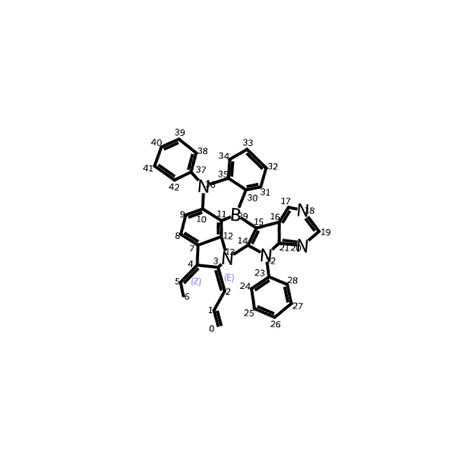 C=C/C=c1\c(=C/C)c2ccc3c4c2n1-c1c(c2cncnc2n1-c1ccccc1)B4c1ccccc1N3c1ccccc1